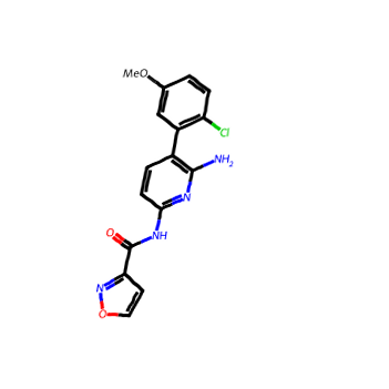 COc1ccc(Cl)c(-c2ccc(NC(=O)c3ccon3)nc2N)c1